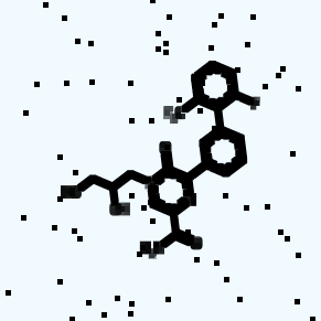 NC(=O)c1cn(CC(O)CO)c(=O)c(-c2cccc(-c3c(F)cccc3C(F)(F)F)c2)n1